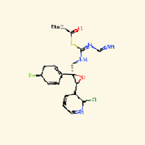 COC(=O)S/C(=N/C=N)NC[C@]1(C2=CCC(F)C=C2)OC1C1C=CC=NC1Cl